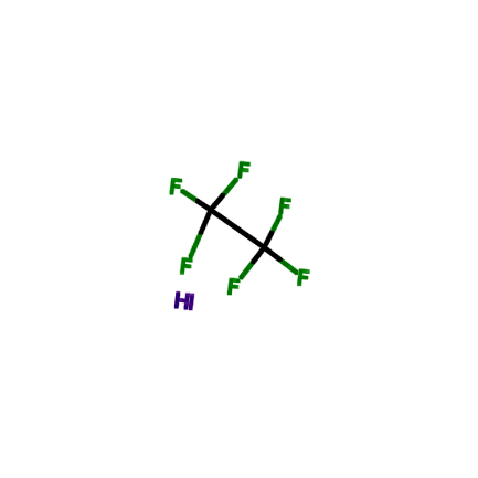 FC(F)(F)C(F)(F)F.I